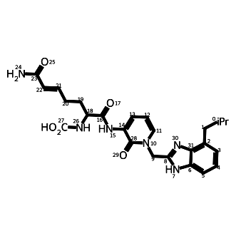 CC(C)Cc1cccc2[nH]c(Cn3cccc(NC(=O)C(CCC=CC(N)=O)NC(=O)O)c3=O)nc12